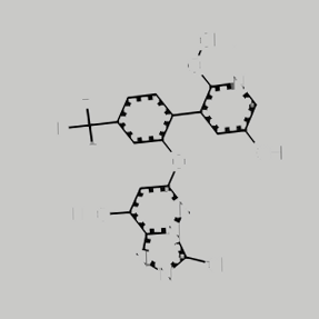 COc1ncc(C)cc1-c1ccc(C(F)(F)F)cc1Oc1cc(C)c2nnc(Cl)n2n1